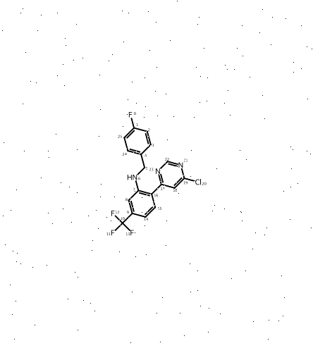 Fc1ccc(CNc2cc(C(F)(F)F)ccc2-c2cc(Cl)ncn2)cc1